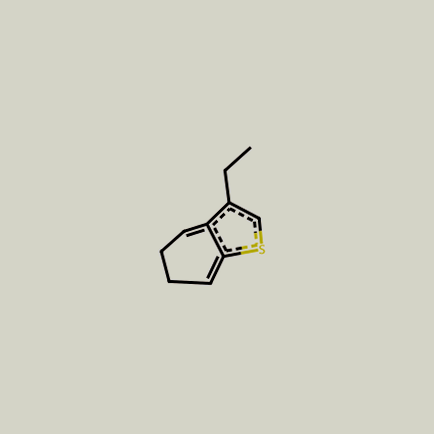 CCc1csc2c1=CCCC=2